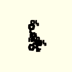 Cc1ccc(Cc2csc(NC(=O)C3(C)CC4(Br)c5ccccc5C3c3ccccc34)n2)cc1